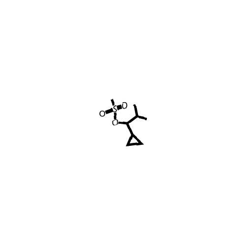 CC(C)C(OS(C)(=O)=O)C1CC1